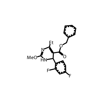 CCC1=C(C(=O)OCc2ccccc2)C(c2ccc(F)cc2F)NC(OC)=N1